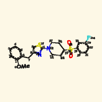 COc1ccccc1Cc1csc(N2CCC(S(=O)(=O)c3cccc(F)c3)CC2)n1